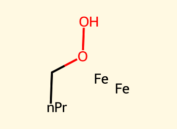 CCCCOO.[Fe].[Fe]